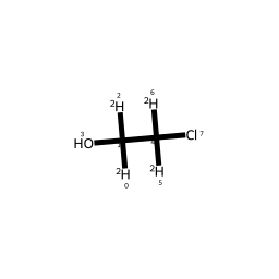 [2H]C([2H])(O)C([2H])([2H])Cl